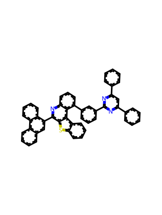 c1ccc(-c2cc(-c3ccccc3)nc(-c3cccc(-c4cccc5nc(-c6cc7ccccc7c7ccccc67)c6sc7ccccc7c6c45)c3)n2)cc1